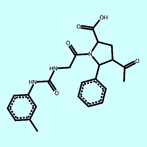 CC(=O)C1CC(C(=O)O)N(C(=O)CNC(=O)Nc2cccc(C)c2)C1c1ccccc1